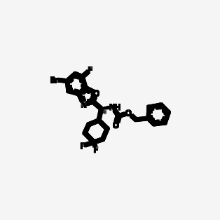 O=C(N[C@H](c1nc2cc(Br)cc(F)c2o1)C1CCC(F)(F)CC1)OCc1ccccc1